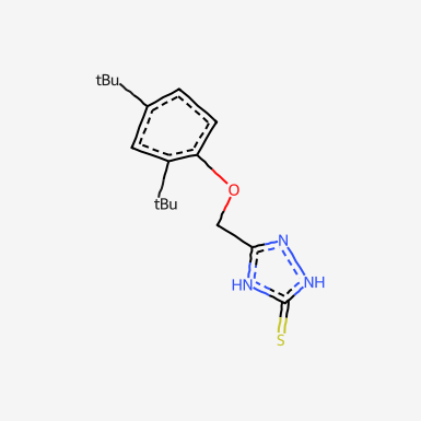 CC(C)(C)c1ccc(OCc2n[nH]c(=S)[nH]2)c(C(C)(C)C)c1